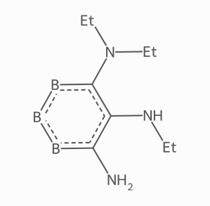 CCNc1c(N)bbbc1N(CC)CC